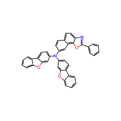 c1ccc(-c2nc3ccc4ccc(N(c5ccc6c(c5)oc5ccccc56)c5ccc6c(c5)oc5ccccc56)cc4c3o2)cc1